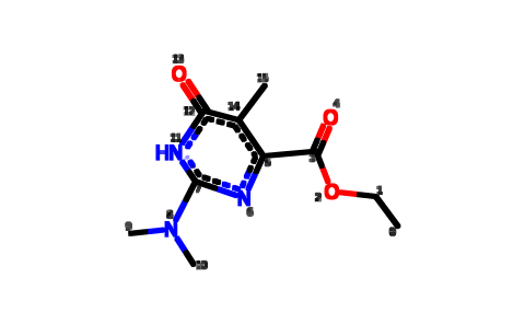 CCOC(=O)c1nc(N(C)C)[nH]c(=O)c1C